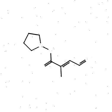 CC(=CC=O)C(=O)ON1CCCC1